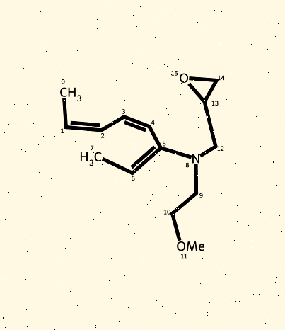 C\C=C/C=C\C(=C/C)N(CCOC)CC1CO1